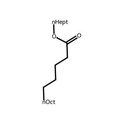 CCCCCCCCCCCCC(=O)OCCCCCCC